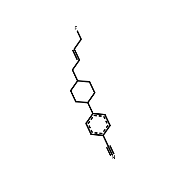 N#Cc1ccc(C2CCC(C/C=C/CF)CC2)cc1